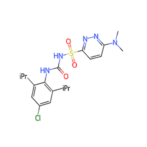 CC(C)c1cc(Cl)cc(C(C)C)c1NC(=O)NS(=O)(=O)c1ccc(N(C)C)nn1